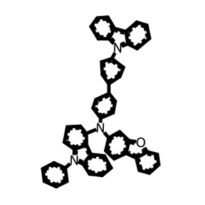 c1ccc(-n2c3ccccc3c3c(N(c4ccc(-c5ccc(-n6c7ccccc7c7ccccc76)cc5)cc4)c4ccc5c(c4)oc4ccccc45)cccc32)cc1